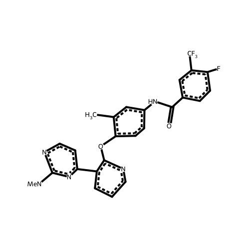 CNc1nccc(-c2cccnc2Oc2ccc(NC(=O)c3ccc(F)c(C(F)(F)F)c3)cc2C)n1